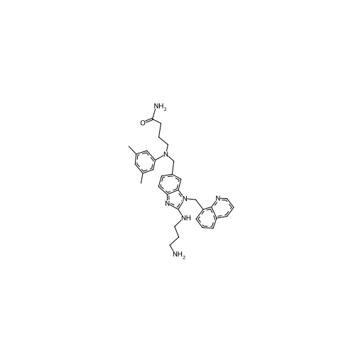 Cc1cc(C)cc(N(CCCC(N)=O)Cc2ccc3nc(NCCCN)n(Cc4cccc5cccnc45)c3c2)c1